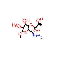 C=C(O)C(O)OC1C(CN)OC(OC)C(O)C1O